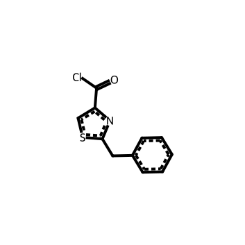 O=C(Cl)c1csc(Cc2ccccc2)n1